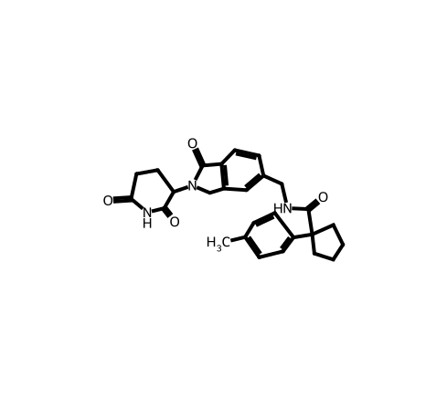 Cc1ccc(C2(C(=O)NCc3ccc4c(c3)CN(C3CCC(=O)NC3=O)C4=O)CCCC2)cc1